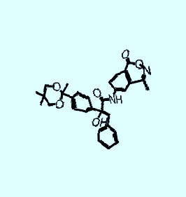 Cc1noc(=O)c2ccc(NC(=O)C(O)(Cc3ccccc3)c3ccc(C4(C)OCC(C)(C)CO4)cc3)cc12